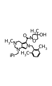 Cc1cccc(C)c1Cn1cc2c(c1C(=O)N1C[C@](C)(O)CO1)CN(C)CN2CC(C)C